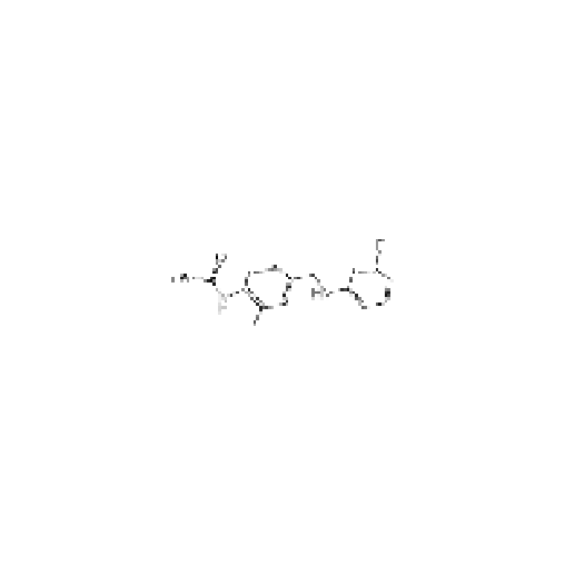 CCCC(=O)Nc1ccc(CNc2cccc(F)c2)cc1C